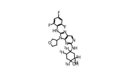 [2H]C1CC([2H])(O)C([2H])([2H])CC1([2H])Nc1ncc2nc(Nc3c(F)cc(F)cc3F)n(C3CCOC3)c2n1